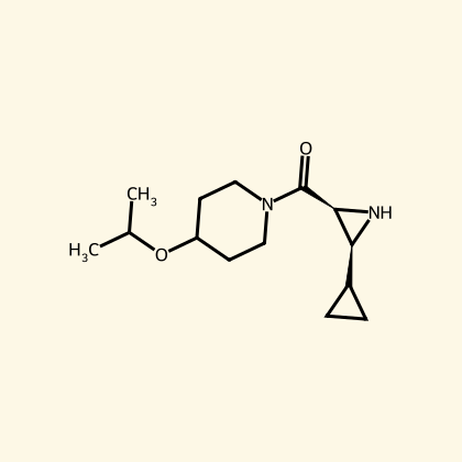 CC(C)OC1CCN(C(=O)[C@H]2N[C@H]2C2CC2)CC1